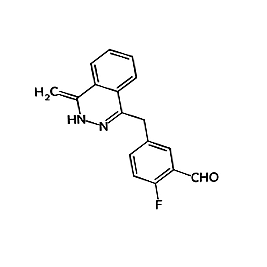 C=C1NN=C(Cc2ccc(F)c(C=O)c2)c2ccccc21